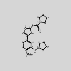 COc1ccc(C2=NOC(CC(=O)N3CCCC3)C2)cc1OC1CCCC1